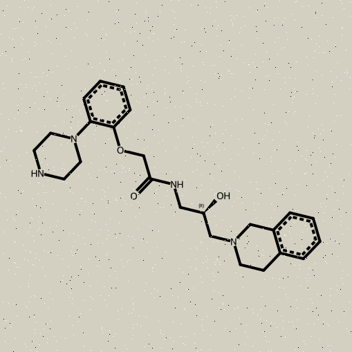 O=C(COc1ccccc1N1CCNCC1)NC[C@@H](O)CN1CCc2ccccc2C1